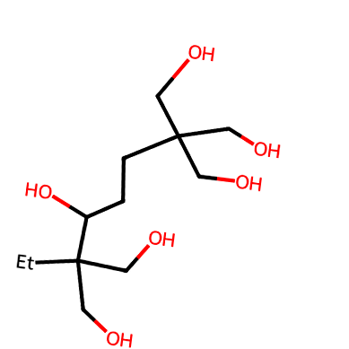 CCC(CO)(CO)C(O)CCC(CO)(CO)CO